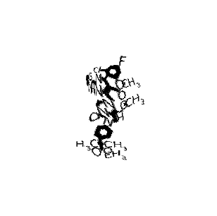 COC[C@H]1[C@@H]2CN(c3ccc(C(C)(C)C(=O)OC)cc3)C(=O)N2CCN1CC1=C(C(=O)OC)[C@H](c2ccc(F)cc2Cl)N=C(c2nccs2)N1